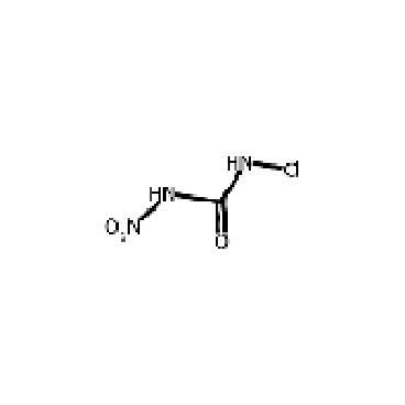 O=C(NCl)N[N+](=O)[O-]